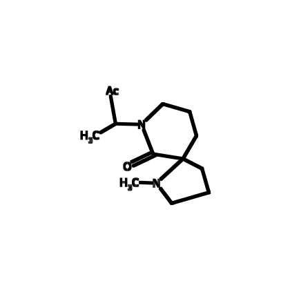 CC(=O)C(C)N1CCCC2(CCCN2C)C1=O